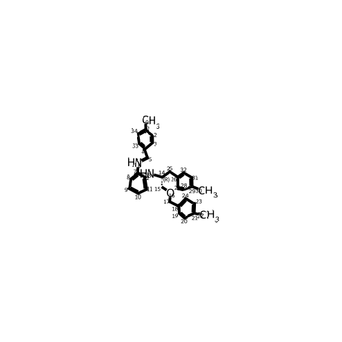 Cc1ccc(CNc2ccccc2N[C@@H](COCc2ccc(C)cc2)Cc2ccc(C)cc2)cc1